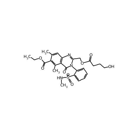 CCOC(=O)c1c(C)cc2nc(COC(=O)CCCO)n(-c3ccccc3S(=O)(=O)NC)c(=O)c2c1C